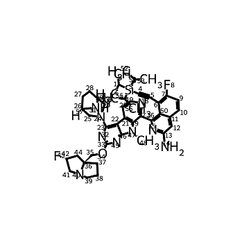 CC(C)[Si](C#Cc1c(F)ccc2cc(N)nc(-c3nccc4c5c(N6C[C@H]7CC[C@@H](C6)N7)nc(OC[C@@]67CCCN6C[C@H](F)C7)nc5n(C)c34)c12)(C(C)C)C(C)C